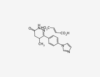 CC1CC(=O)NN=C1c1ccc(-n2ccnc2)cc1.O=C(O)/C=C/C(=O)O